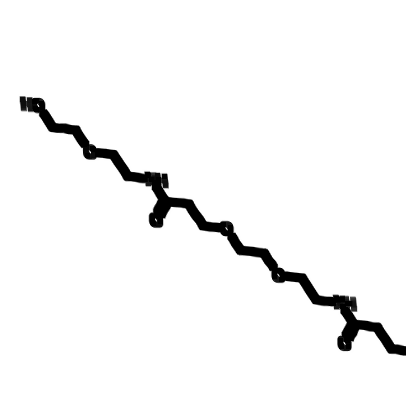 O=CCCC(=O)NCCOCCOCCC(=O)NCCOCCO